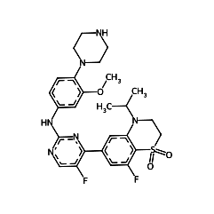 COc1cc(Nc2ncc(F)c(-c3cc(F)c4c(c3)N(C(C)C)CCS4(=O)=O)n2)ccc1N1CCNCC1